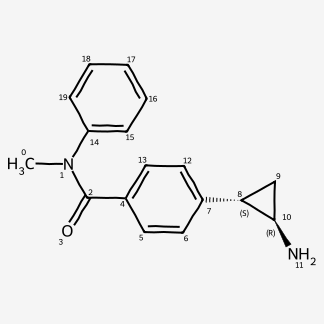 CN(C(=O)c1ccc([C@@H]2C[C@H]2N)cc1)c1ccccc1